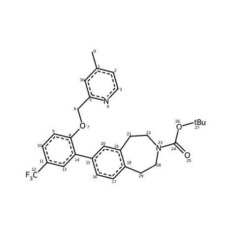 Cc1ccnc(COc2ccc(C(F)(F)F)cc2-c2ccc3c(c2)CCN(C(=O)OC(C)(C)C)CC3)c1